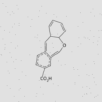 O=C(O)c1ccc2c(c1)=COC1C=CC=CC1C=2